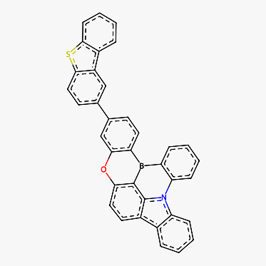 c1ccc2c(c1)B1c3ccc(-c4ccc5sc6ccccc6c5c4)cc3Oc3ccc4c5ccccc5n-2c4c31